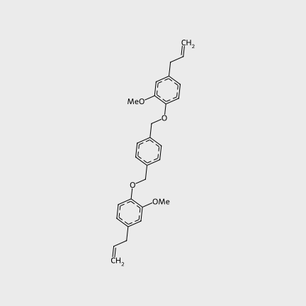 C=CCc1ccc(OCc2ccc(COc3ccc(CC=C)cc3OC)cc2)c(OC)c1